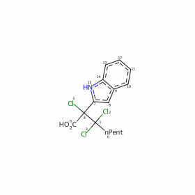 CCCCCC(Cl)(Cl)C(Cl)(C(=O)O)c1cc2ccccc2[nH]1